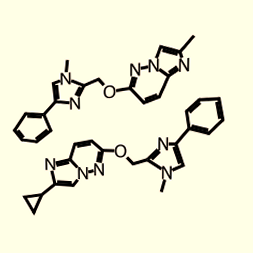 Cc1cn2nc(OCc3nc(-c4ccccc4)cn3C)ccc2n1.Cn1cc(-c2ccccc2)nc1COc1ccc2nc(C3CC3)cn2n1